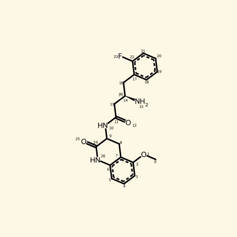 COc1cccc2c1CC(NC(=O)C[C@H](N)Cc1ccccc1F)C(=O)N2